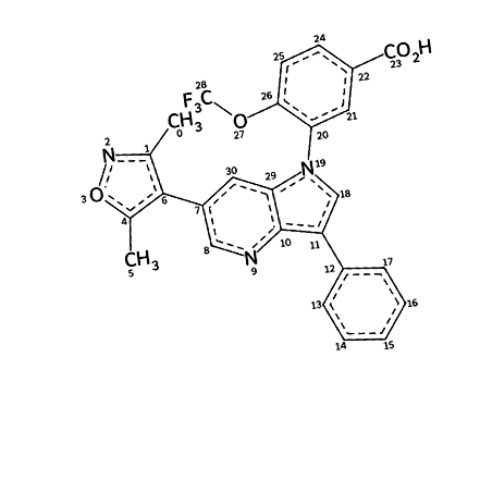 Cc1noc(C)c1-c1cnc2c(-c3ccccc3)cn(-c3cc(C(=O)O)ccc3OC(F)(F)F)c2c1